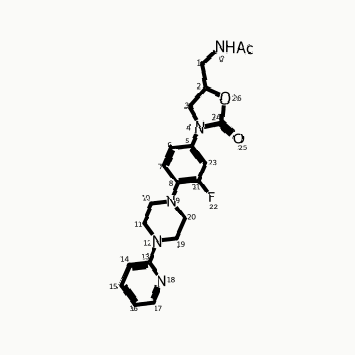 CC(=O)NCC1CN(c2ccc(N3CCN(c4ccccn4)CC3)c(F)c2)C(=O)O1